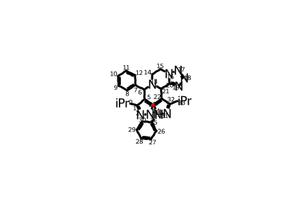 CC(C)c1n[nH]cc1C(c1ccccc1)N1CCn2nnnc2C1c1cn(-c2ccccc2)nc1C(C)C